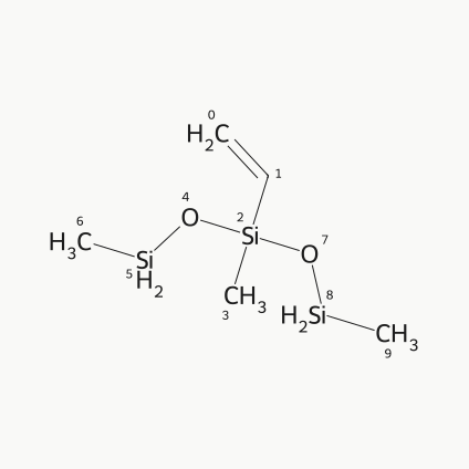 C=C[Si](C)(O[SiH2]C)O[SiH2]C